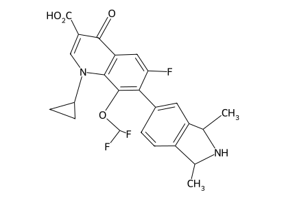 CC1NC(C)c2cc(-c3c(F)cc4c(=O)c(C(=O)O)cn(C5CC5)c4c3OC(F)F)ccc21